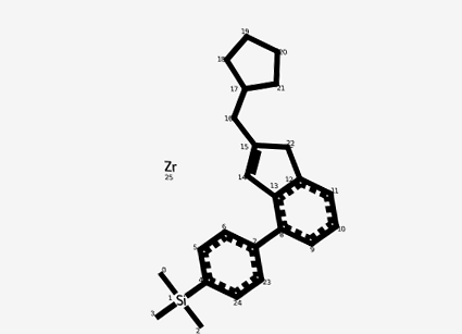 C[Si](C)(C)c1ccc(-c2cccc3c2C=C(CC2CCCC2)[CH]3)cc1.[Zr]